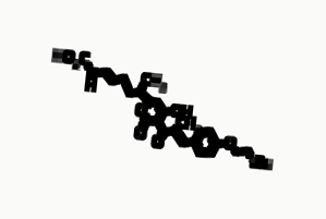 C/C(=C\c1ccc(OCCC(C)(C)C)cc1)C(=O)c1c(O)cc(C(C)CC/C=C/NC(=O)O)oc1=O